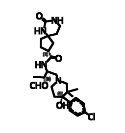 C[C@@H](C=O)C(CN1CC[C@](O)(c2ccc(Cl)cc2)C(C)(C)C1)NC(=O)[C@@H]1CCC2(CCNC(=O)N2)C1